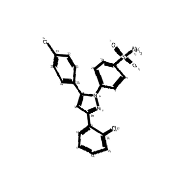 NS(=O)(=O)c1ccc(-n2nc(-c3ccccc3Cl)cc2-c2ccc(Cl)cc2)cc1